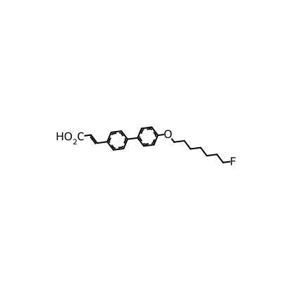 O=C(O)C=Cc1ccc(-c2ccc(OCCCCCCCF)cc2)cc1